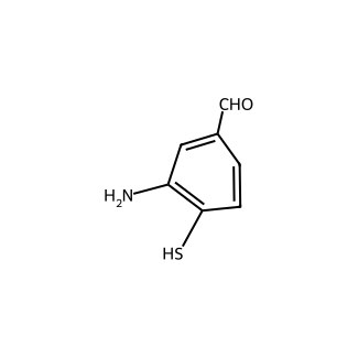 Nc1cc(C=O)ccc1S